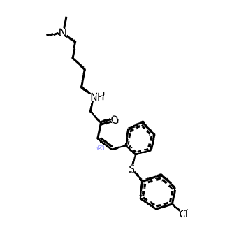 CN(C)CCCCNCC(=O)/C=C\c1ccccc1Sc1ccc(Cl)cc1